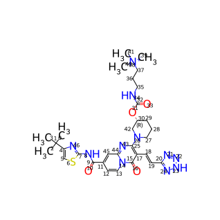 CC(C)(C)c1csc(NC(=O)c2ccn3c(=O)c(C=Cc4nn[nH]n4)c(N4CCC[C@@H](OC(=O)NCCC[N+](C)(C)C)C4)nc3c2)n1